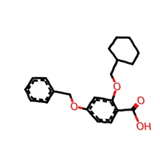 O=C(O)c1ccc(OCc2ccccc2)cc1OCC1CCCCC1